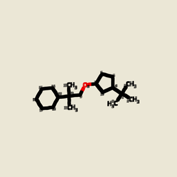 CC(C)(C)C1CCC(OCC(C)(C)C2CCCCC2)C1